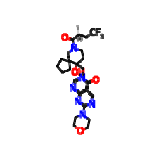 C[C@H](CC(F)(F)F)C(=O)N1CCC(O)(Cn2cnc3nc(N4CCOCC4)ncc3c2=O)C2(CCCC2)C1